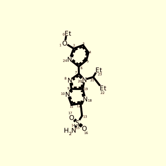 CCOc1cccc(-c2nc3ncc(CS(N)(=O)=O)nc3n2C(CC)CC)n1